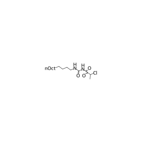 CCCCCCCCCCCCNC(=O)NS(=O)(=O)C(C)Cl